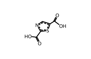 O=C(O)c1cnc(C(=O)O)s1